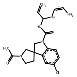 C=CC(N/C=C\N)NC(=O)N1CC2(CCN(C(C)=O)C2)c2cc(Cl)ccc21